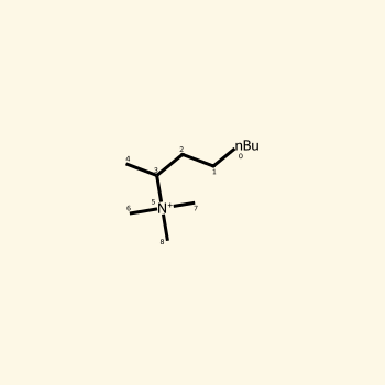 CCCCCCC(C)[N+](C)(C)C